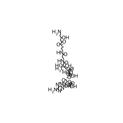 CC(C)(COP(=O)(O)OP(=O)(O)OC[C@H]1O[C@@H](n2cnc3c(N)ncnc32)[C@H](O)[C@@H]1OP(=O)(O)O)[C@@H](O)C(=O)NCCC(=O)NCCSC(=O)C(=O)CC(O)CCN